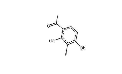 CC(=O)c1ccc(O)c(F)c1O